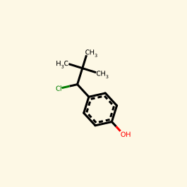 CC(C)(C)C(Cl)c1ccc(O)cc1